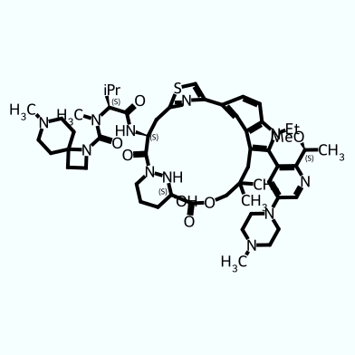 CCn1c(-c2cc(N3CCN(C)CC3)cnc2[C@H](C)OC)c2c3cc(ccc31)-c1csc(n1)C[C@H](NC(=O)[C@H](C(C)C)N(C)C(=O)N1CCC13CCN(C)CC3)C(=O)N1CCC[C@@](O)(N1)C(=O)OCC(C)(C)C2